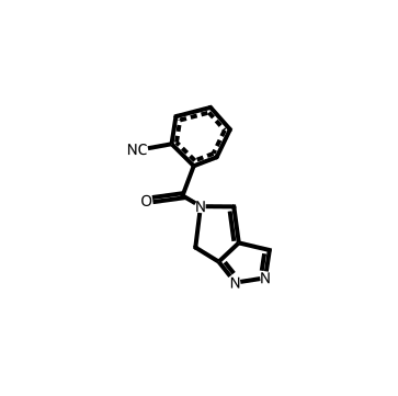 N#Cc1ccccc1C(=O)N1C=C2C=NN=C2C1